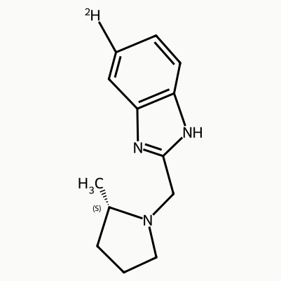 [2H]c1ccc2[nH]c(CN3CCC[C@@H]3C)nc2c1